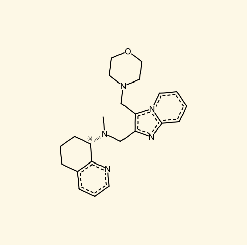 CN(Cc1nc2ccccn2c1CN1CCOCC1)[C@H]1CCCc2cccnc21